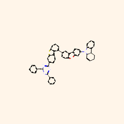 C1=CC2C(CC1)c1ccccc1N2c1ccc2c(c1)oc1ccc(-c3cccc4sc5cc(C6=NC(c7ccccc7)NC(c7ccccc7)=N6)ccc5c34)cc12